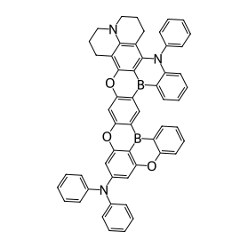 c1ccc(N(c2ccccc2)c2cc3c4c(c2)Oc2cc5c(cc2B4c2ccccc2O3)B2c3ccccc3N(c3ccccc3)c3c4c6c(c(c32)O5)CCCN6CCC4)cc1